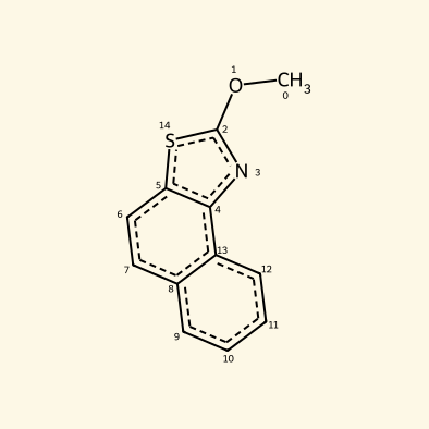 COc1nc2c(ccc3ccccc32)s1